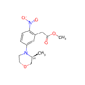 COC(=O)Cc1cc(N2CCOC[C@@H]2C)ccc1[N+](=O)[O-]